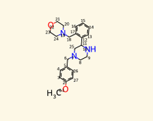 COc1ccc(CN2CCNC(c3ccccc3CN3CCOCC3)C2)cc1